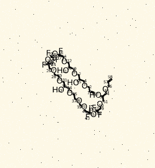 C=CCOCC(O)COCC(O)COCC(F)(F)OC(F)(F)OC(F)(F)COCCOCC(O)COCCOCOCC(F)(F)OC(F)(F)COCC(O)COCC=C